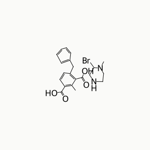 CN1CCNCC1Br.Cc1c(C(=O)O)ccc(Cc2ccccc2)c1C(=O)O